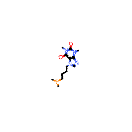 Cn1c(=O)c2c(ncn2CCCCP(C)C)n(C)c1=O